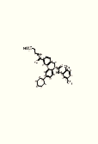 O=C(O)CCNC(=O)c1ccc(CN(C(=O)Nc2cc(C(F)(F)F)ccc2C(F)(F)F)c2ccc(C3CCCCC3)cc2)cc1